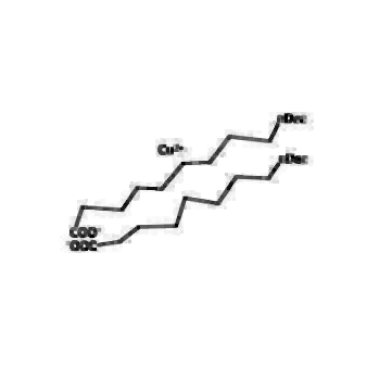 CCCCCCCCCCCCCCCCCC(=O)[O-].CCCCCCCCCCCCCCCCCCC(=O)[O-].[Cu+2]